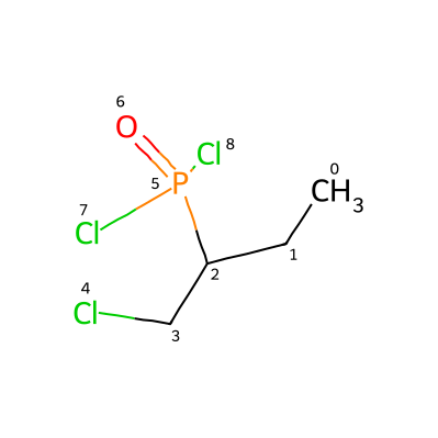 CCC(CCl)P(=O)(Cl)Cl